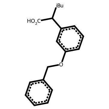 CCC(C)C(C(=O)O)c1cccc(OCc2ccccc2)c1